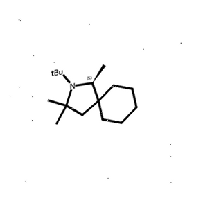 C[C@@H]1N(C(C)(C)C)C(C)(C)CC12CCCCC2